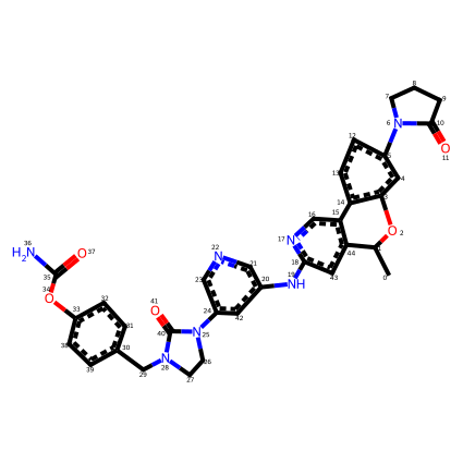 CC1Oc2cc(N3CCCC3=O)ccc2-c2cnc(Nc3cncc(N4CCN(Cc5ccc(OC(N)=O)cc5)C4=O)c3)cc21